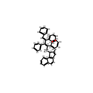 CC1=Cc2ccc3ccccc3c2[CH]1[Zr][C](=C(C(=Cc1ccccc1)c1ccccc1)c1ccccc1)c1ccccc1